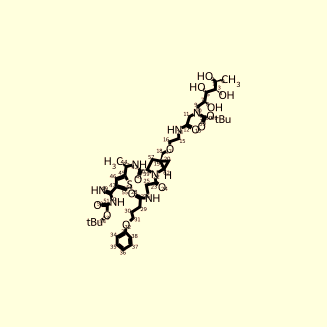 C[C@H](O)[C@H](O)[C@@H](O)[C@@H](O)CN(CC(=O)NCCOC[C@@]12C[C@@H]1N(C(=O)CNC(=O)CCCOc1ccccc1)[C@H](C(=O)N[C@H](C)c1cc(C(=N)NC(=O)OC(C)(C)C)cs1)C2)C(=O)OC(C)(C)C